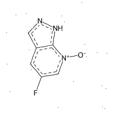 [O-][n+]1cc(F)cc2cn[nH]c21